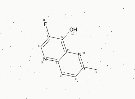 Cc1ccc2ncc(F)c(O)c2n1